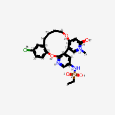 CCS(=O)(=O)Nc1cnc2c(c1)-c1cn(C)c(=O)cc1OCCCCc1cc(Cl)ccc1O2